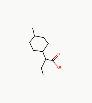 CCC(C(=O)O)C1CCC(C)CC1